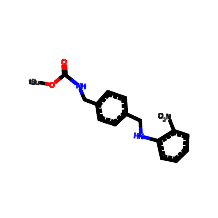 CC(C)(C)OC(=O)NCc1ccc(CNc2ccccc2[N+](=O)[O-])cc1